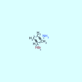 Br.C=C.C=C.N